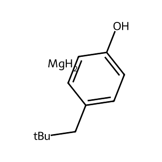 CC(C)(C)Cc1ccc(O)cc1.[MgH2]